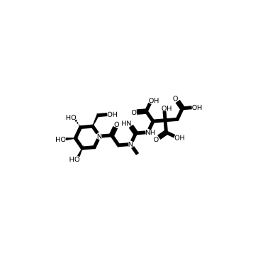 CN(CC(=O)N1C[C@@H](O)[C@@H](O)[C@H](O)[C@H]1CO)C(=N)NC(C(=O)O)C(O)(CC(=O)O)C(=O)O